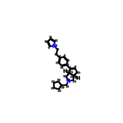 C1=C(c2ccc(CCn3cccc3)cc2)[C@H]2CN(CC3CCCC3)C[C@H]2C1